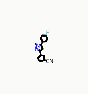 Cn1nc(-c2cccc(C#N)c2)cc1-c1ccc(F)cc1